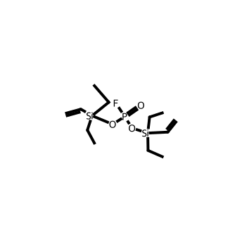 C=C[Si](CC)(CC)OP(=O)(F)O[Si](C=C)(CC)CC